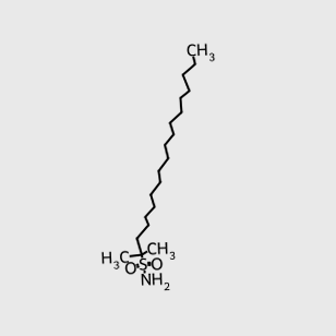 CCCCCCCCCCCCCCCCCC(C)(C)S(N)(=O)=O